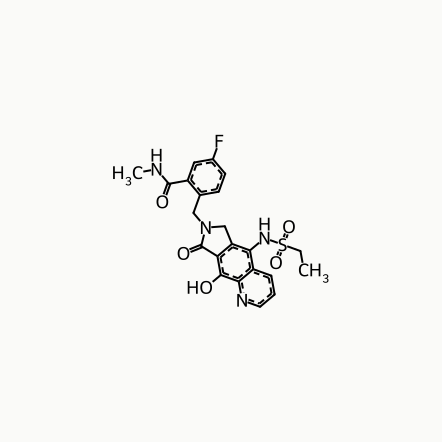 CCS(=O)(=O)Nc1c2c(c(O)c3ncccc13)C(=O)N(Cc1ccc(F)cc1C(=O)NC)C2